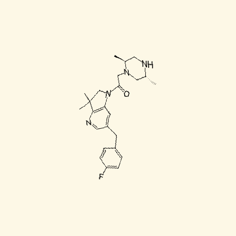 C[C@@H]1CN(CC(=O)N2CC(C)(C)c3ncc(Cc4ccc(F)cc4)cc32)[C@@H](C)CN1